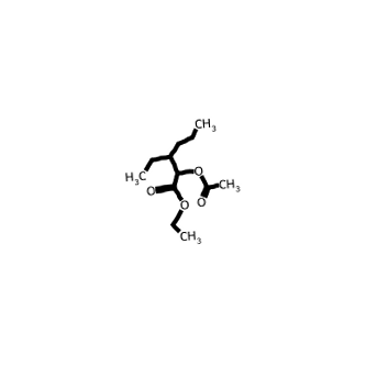 CCCC(CC)C(OC(C)=O)C(=O)OCC